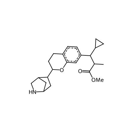 COC(=O)C(C)C(c1ccc2c(c1)OC(C1CC3CC1CN3)CC2)C1CC1